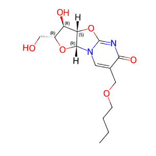 CCCCOCc1cn2c(nc1=O)O[C@H]1[C@H](O)[C@@H](CO)O[C@H]12